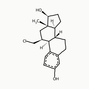 C[C@]12C[C@H](CCl)[C@@H]3c4ccc(O)cc4CC[C@H]3[C@@H]1CC[C@@H]2O